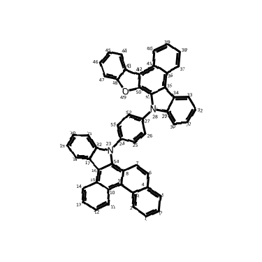 c1ccc2c(c1)ccc1c2c2ccccc2c2c3ccccc3n(-c3ccc(-n4c5ccccc5c5c6ccccc6c6c7ccccc7oc6c54)cc3)c12